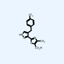 Cc1nc(-c2n[nH]cc2Cc2ccc(C(F)(F)F)cc2)sc1C(=O)O